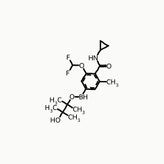 Cc1cc(BOC(C)(C)C(C)(C)O)cc(OC(F)F)c1C(=O)NC1CC1